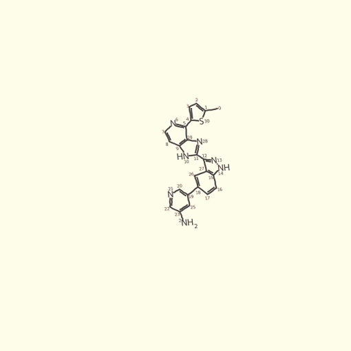 Cc1ccc(-c2nccc3[nH]c(-c4n[nH]c5ccc(-c6cncc(N)c6)cc45)nc23)s1